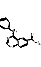 NC(=O)c1ccc2ncnc(Nc3ccccc3)c2c1